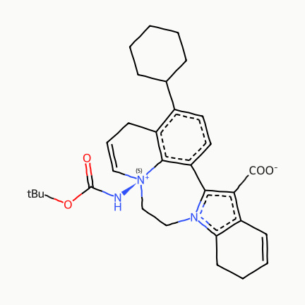 CC(C)(C)OC(=O)N[N@@+]12C=CCc3c(C4CCCCC4)ccc(c31)-c1c(C(=O)[O-])c3c(n1CC2)CCC=C3